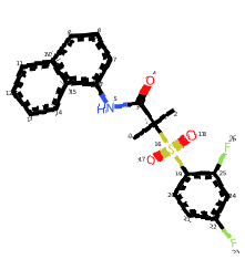 CC(C)(C(=O)Nc1cccc2ccccc12)S(=O)(=O)c1ccc(F)cc1F